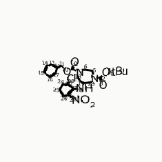 CC(C)(C)OC(=O)N1CCN(C(=O)OCc2ccccc2)CC(Nc2c(Cl)cccc2[N+](=O)[O-])C1